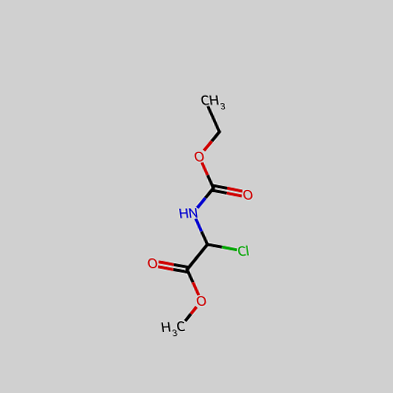 CCOC(=O)NC(Cl)C(=O)OC